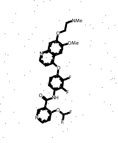 CNCCOc1cc2nccc(Oc3ccc(NC(=O)c4cnccc4OC(F)F)c(F)c3F)c2cc1OC